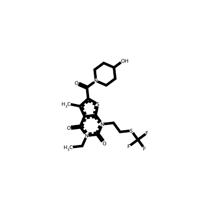 CCn1c(=O)c2c(C)c(C(=O)N3CCC(O)CC3)sc2n(CCSC(F)(F)F)c1=O